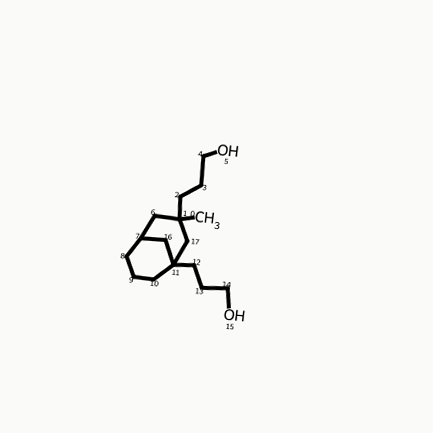 CC1(CCCO)CC2CCCC(CCCO)(C2)C1